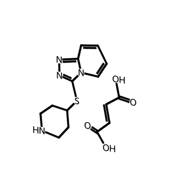 O=C(O)C=CC(=O)O.c1ccn2c(SC3CCNCC3)nnc2c1